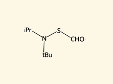 CC(C)N(S[C]=O)C(C)(C)C